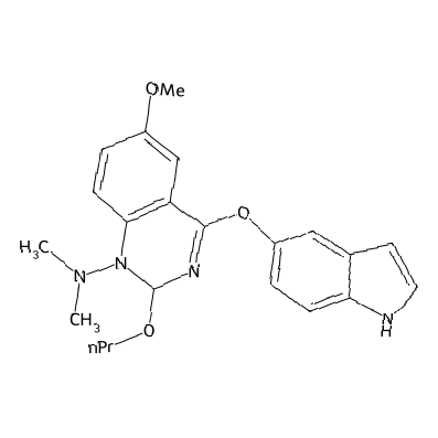 CCCOC1N=C(Oc2ccc3[nH]ccc3c2)c2cc(OC)ccc2N1N(C)C